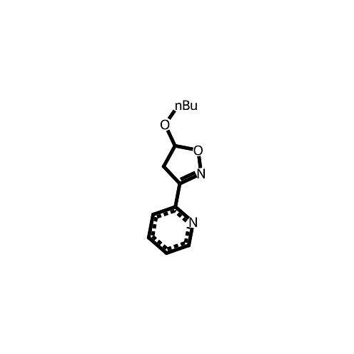 CCCCOC1CC(c2ccccn2)=NO1